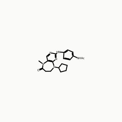 CC(=O)Nc1ccc(Nc2ncc3c(n2)N(C2CCCC2)CCC(=O)N3C)cc1